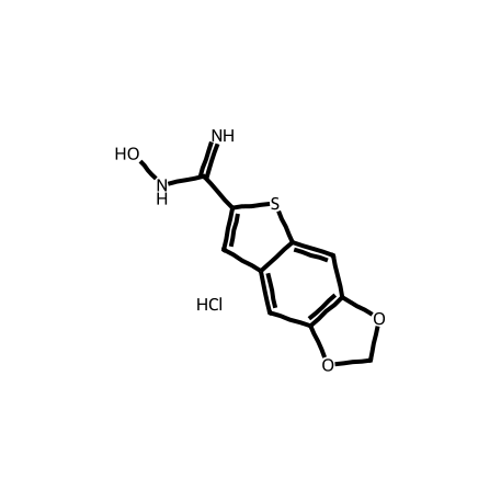 Cl.N=C(NO)c1cc2cc3c(cc2s1)OCO3